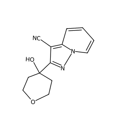 N#Cc1c(C2(O)CCOCC2)nn2ccccc12